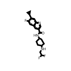 O=C(NC1CCC(NCC(F)F)CC1)c1cnc2cc(C3CC3)c(F)cc2c1